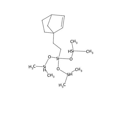 C[SiH](C)O[Si](CCC12C=CC(CC1)C2)(O[SiH](C)C)O[SiH](C)C